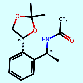 C[C@H](NC(=O)C(F)(F)F)c1ccccc1[C@@H]1COC(C)(C)O1